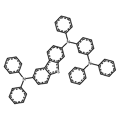 c1ccc(N(c2ccccc2)c2cccc(N(c3ccccc3)c3ccc4c(c3)sc3ccc(N(c5ccccc5)c5ccccc5)cc34)c2)cc1